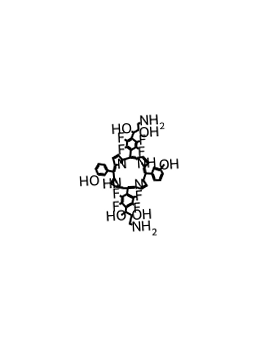 NCC(O)C(O)c1c(F)c(F)c(-c2c3nc(c(-c4cccc(O)c4)c4ccc([nH]4)c(-c4c(F)c(F)c(C(O)C(O)CN)c(F)c4F)c4nc(c(-c5cccc(O)c5)c5ccc2[nH]5)C=C4)C=C3)c(F)c1F